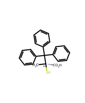 C[C@@](S)(C(=O)O)C(c1ccccc1)(c1ccccc1)c1ccccc1